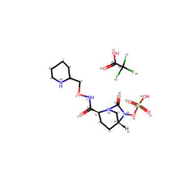 O=C(NOCC1CCCCN1)[C@@H]1CC[C@@H]2CN1C(=O)N2OS(=O)(=O)O.O=C(O)C(F)(F)F